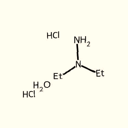 CCN(N)CC.Cl.Cl.O